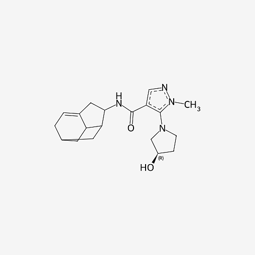 Cn1ncc(C(=O)NC2CC3=CCC4CC3C2C4)c1N1CC[C@@H](O)C1